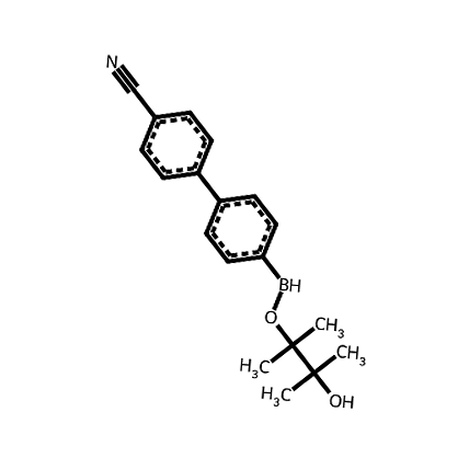 CC(C)(O)C(C)(C)OBc1ccc(-c2ccc(C#N)cc2)cc1